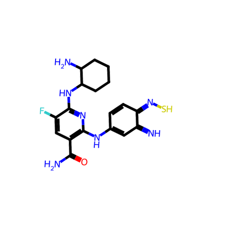 N=C1C=C(Nc2nc(NC3CCCCC3N)c(F)cc2C(N)=O)C=C/C1=N/S